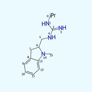 CC(C)NC(=N)NCC1Cc2ccccc2N1C